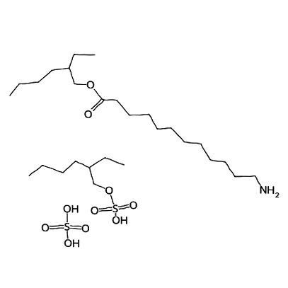 CCCCC(CC)COC(=O)CCCCCCCCCCCN.CCCCC(CC)COS(=O)(=O)O.O=S(=O)(O)O